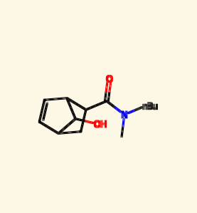 CCCCN(C)C(=O)C1CC2C=CC1C2O